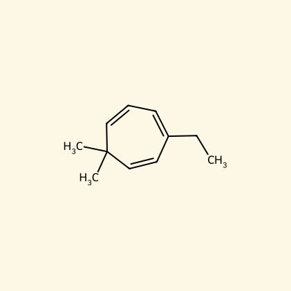 CCC1=CC=CC(C)(C)C=C1